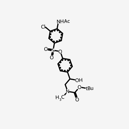 CC(=O)Nc1ccc(S(=O)(=O)Oc2ccc(C(O)CN(C)C(=O)OC(C)(C)C)cc2)cc1Cl